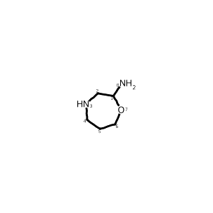 N[C]1CNCCCO1